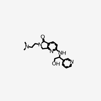 CN(C)CCN1Cc2nc(NC(CO)c3cccnc3)ccc2C1=O